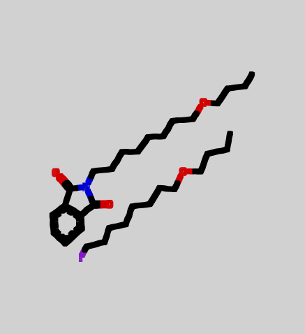 CCCCOCCCCCCCCI.CCCCOCCCCCCCCN1C(=O)c2ccccc2C1=O